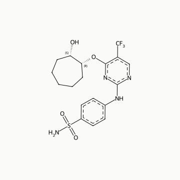 NS(=O)(=O)c1ccc(Nc2ncc(C(F)(F)F)c(O[C@@H]3CCCCC[C@@H]3O)n2)cc1